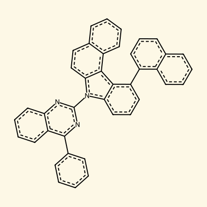 c1ccc(-c2nc(-n3c4cccc(-c5cccc6ccccc56)c4c4c5ccccc5ccc43)nc3ccccc23)cc1